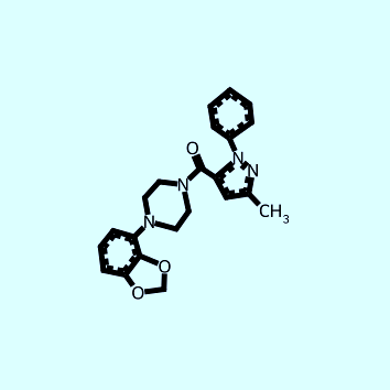 Cc1cc(C(=O)N2CCN(c3cccc4c3OCO4)CC2)n(-c2ccccc2)n1